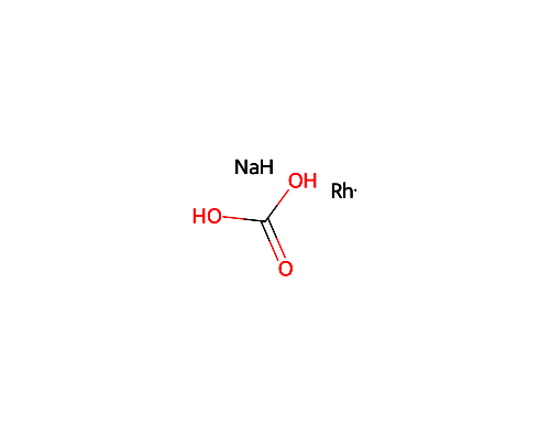 O=C(O)O.[NaH].[Rh]